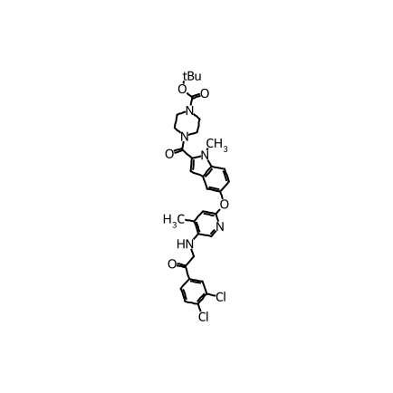 Cc1cc(Oc2ccc3c(c2)cc(C(=O)N2CCN(C(=O)OC(C)(C)C)CC2)n3C)ncc1NCC(=O)c1ccc(Cl)c(Cl)c1